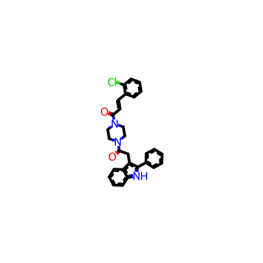 O=C(/C=C/c1ccccc1Cl)N1CCN(C(=O)Cc2c(-c3ccccc3)[nH]c3ccccc23)CC1